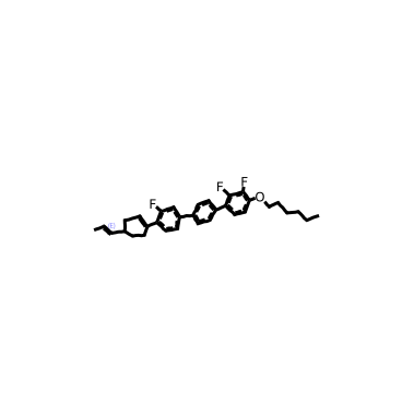 C/C=C/C1CC=C(c2ccc(-c3ccc(-c4ccc(OCCCCCC)c(F)c4F)cc3)cc2F)CC1